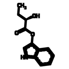 CC[C@@H](O)C(=O)Oc1c[nH]c2ccccc12